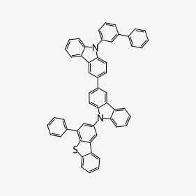 c1ccc(-c2cccc(-n3c4ccccc4c4cc(-c5ccc6c(c5)c5ccccc5n6-c5cc(-c6ccccc6)c6sc7ccccc7c6c5)ccc43)c2)cc1